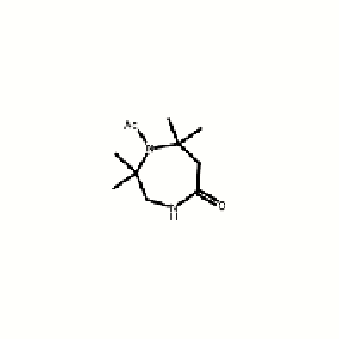 CC(=O)N1C(C)(C)CNC(=O)CC1(C)C